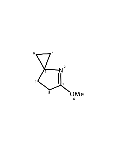 COC1=NC2(CC1)CC2